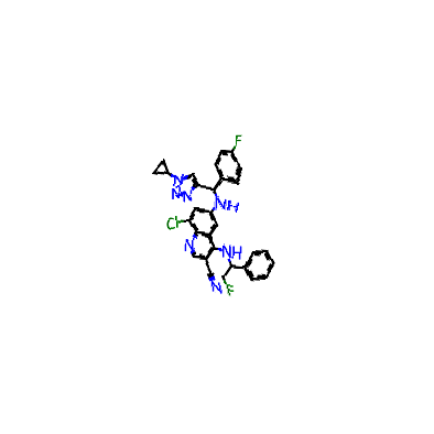 N#Cc1cnc2c(Cl)cc(NC(c3ccc(F)cc3)c3cn(C4CC4)nn3)cc2c1NC(CF)c1ccccc1